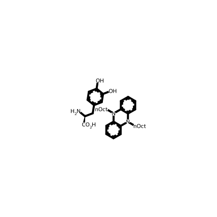 CCCCCCCCN1c2ccccc2N(CCCCCCCC)c2ccccc21.N[C@@H](Cc1ccc(O)c(O)c1)C(=O)O